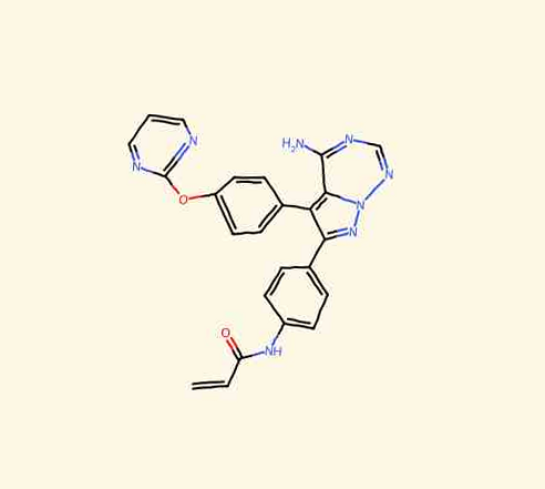 C=CC(=O)Nc1ccc(-c2nn3ncnc(N)c3c2-c2ccc(Oc3ncccn3)cc2)cc1